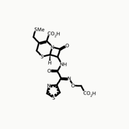 CSCC1=C(C(=O)O)N2C(=O)C(NC(=O)C(=NOCC(=O)O)c3cscn3)[C@@H]2SC1